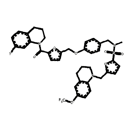 CN(Cc1ccc(OCc2ccc(C(=O)N3CCCc4ccc(F)cc43)o2)cc1)S(=O)(=O)c1ccc(CN2CCCc3cc(OC(F)(F)F)ccc32)o1